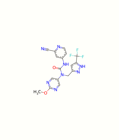 COc1ncc(N(Cc2cc(C(F)(F)F)[nH]n2)C(=O)Nc2ccnc(C#N)c2)cn1